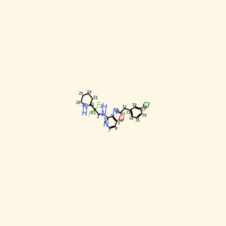 FC(F)(CNc1nccc2oc(Cc3cccc(Cl)c3)nc12)C1CCCCN1